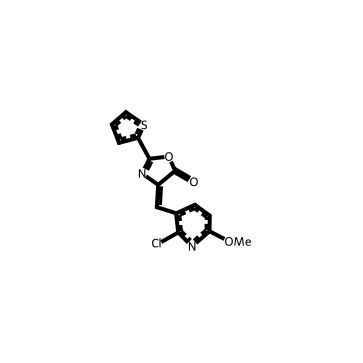 COc1ccc(C=C2N=C(c3cccs3)OC2=O)c(Cl)n1